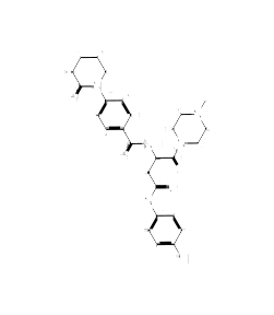 CN1CCN(C(=O)C(CC(=O)Nc2ccc(Cl)cc2)NC(=O)c2ccc(N3CCCCC3=O)cc2)CC1